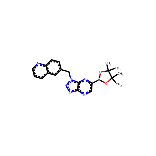 CC1(C)OB(c2cnc3nnn(Cc4ccc5ncccc5c4)c3n2)OC1(C)C